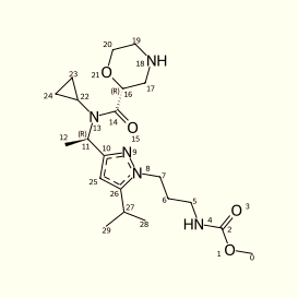 COC(=O)NCCCn1nc([C@@H](C)N(C(=O)[C@H]2CNCCO2)C2CC2)cc1C(C)C